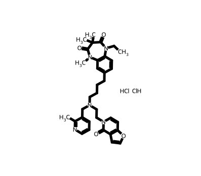 CCN1C(=O)C(C)(C)C(=O)N(C)c2cc(CCCCN(CCn3ccc4occc4c3=O)Cc3cccnc3C)ccc21.Cl.Cl